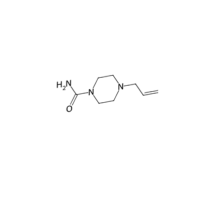 C=CCN1CCN(C(N)=O)CC1